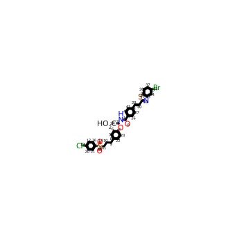 O=C(NC(Oc1ccc(CCCS(=O)(=O)c2ccc(Cl)cc2)cc1)C(=O)O)c1ccc(C=Cc2nc3cc(Br)ccc3s2)cc1